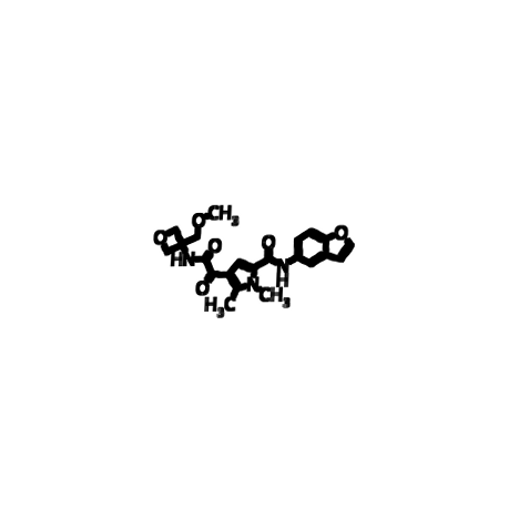 COCC1(NC(=O)C(=O)c2cc(C(=O)Nc3ccc4occc4c3)n(C)c2C)COC1